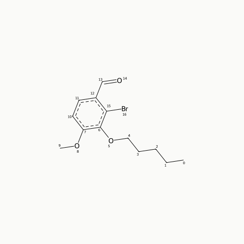 CCCCCOc1c(OC)ccc(C=O)c1Br